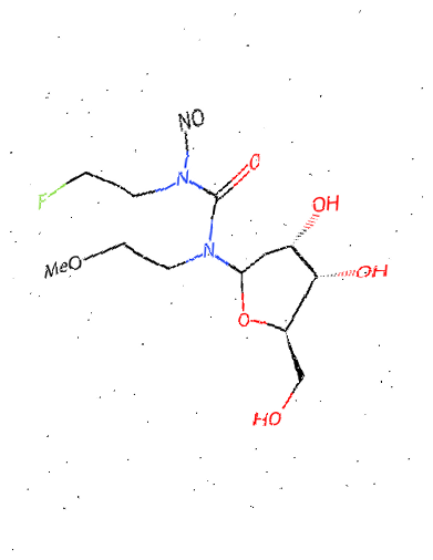 COCCN(C(=O)N(CCF)N=O)C1O[C@H](CO)[C@@H](O)[C@H]1O